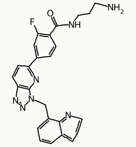 NCCCNC(=O)c1ccc(-c2ccc3nnn(Cc4cccc5cccnc45)c3n2)cc1F